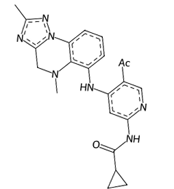 CC(=O)c1cnc(NC(=O)C2CC2)cc1Nc1cccc2c1N(C)Cc1nc(C)nn1-2